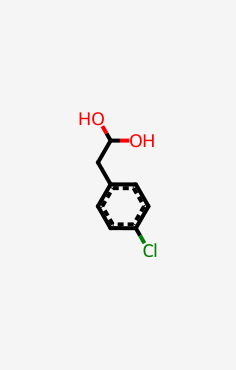 OC(O)Cc1ccc(Cl)cc1